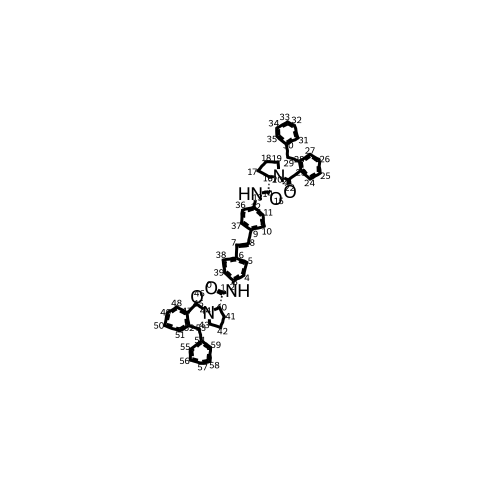 O=C(Nc1ccc(/C=C/c2ccc(NC(=O)[C@@H]3CCCN3C(=O)c3ccccc3Cc3ccccc3)cc2)cc1)[C@@H]1CCCN1C(=O)c1ccccc1Cc1ccccc1